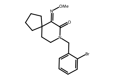 CO/N=C1\C(=O)N(Cc2ccccc2Br)CCC12CCCC2